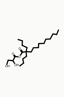 CCCCCCCCCCC(CCCC)(CCCC)C(=O)OC(=O)C(O)CO